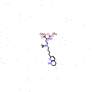 COC(=O)[C@H](CCN(CCCCc1ccc2c(n1)NCCC2)C1CC1)NC(=O)OC(C)(C)C